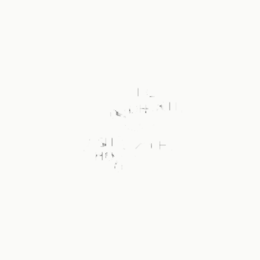 Cc1cc(C(=O)O)c(C[SH]2C=CC=C2)c(C(=O)O)c1CCC(C)C